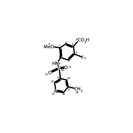 COc1cc(C(=O)O)c(F)cc1NS(=O)(=O)c1cncc(C)c1